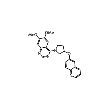 COc1cc2ncnc(N3CCC(Oc4ccc5ncccc5c4)C3)c2cc1OC